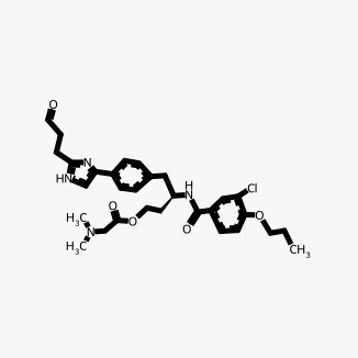 CCCOc1ccc(C(=O)N[C@@H](CCOC(=O)CN(C)C)Cc2ccc(-c3c[nH]c(CCC=O)n3)cc2)cc1Cl